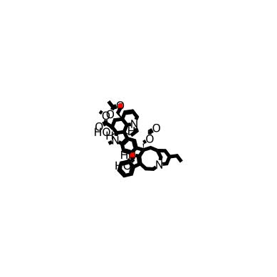 CCC1CC2CN(CCc3c([nH]c4ccccc34)[C@@](COC=O)(c3cc4c(cc3CO)N(C)[C@H]3C(O)(C(=O)OC)[C@H](OC(C)=O)[C@]5(CC)C=CCN6CC[C@]43[C@@H]65)C2)C1